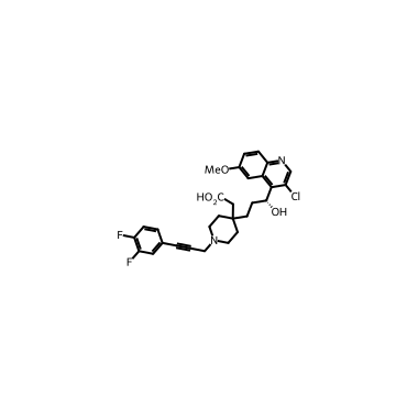 COc1ccc2ncc(Cl)c([C@H](O)CCC3(CC(=O)O)CCN(CC#Cc4ccc(F)c(F)c4)CC3)c2c1